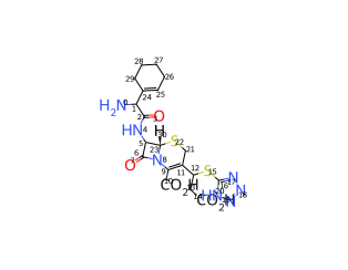 NC(C(=O)NC1C(=O)N2C(C(=O)O)=C(C(CC(=O)O)Sc3nnn[nH]3)CS[C@@H]12)C1=CCCCC1